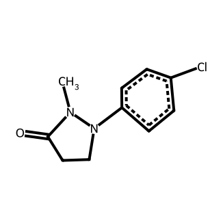 CN1C(=O)CCN1c1ccc(Cl)cc1